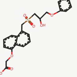 O=C(O)COc1cccc2c(CS(=O)(=O)CC(O)COc3ccccc3)cccc12